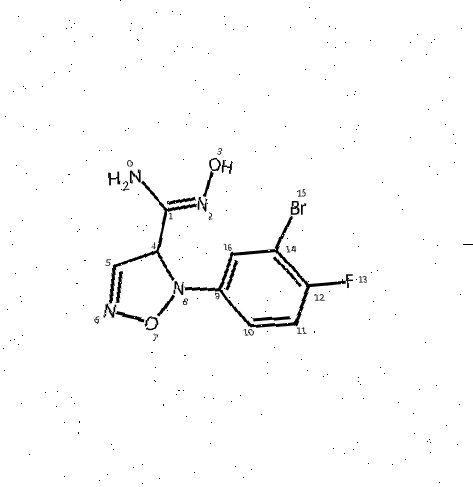 NC(=NO)C1C=NON1c1ccc(F)c(Br)c1